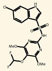 COc1nc(NS(=O)(=O)c2c[nH]c3cc(Cl)ccc23)nc(OC)c1OC(F)F